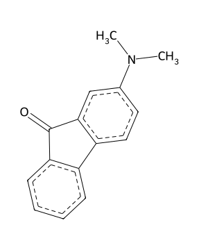 CN(C)c1ccc2c(c1)C(=O)c1ccccc1-2